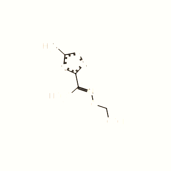 Nc1nc(C(=NOCC(=O)O)C(=O)O)ns1